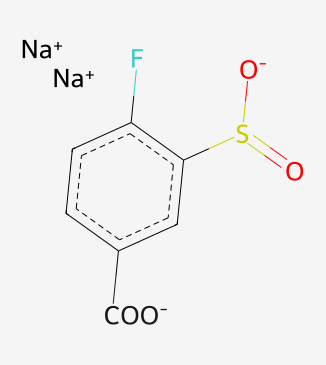 O=C([O-])c1ccc(F)c(S(=O)[O-])c1.[Na+].[Na+]